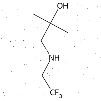 CC(C)(O)CNCC(F)(F)F